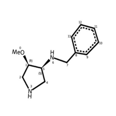 CO[C@@H]1CNC[C@@H]1NCc1ccccc1